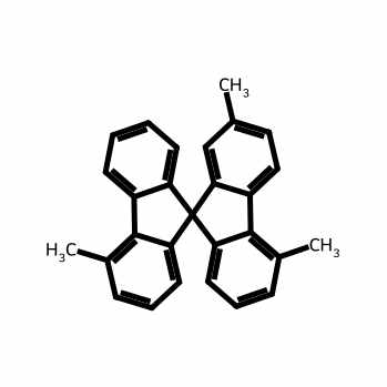 Cc1ccc2c(c1)C1(c3ccccc3-c3c(C)cccc31)c1cccc(C)c1-2